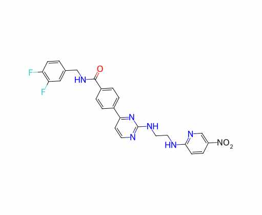 O=C(NCc1ccc(F)c(F)c1)c1ccc(-c2ccnc(NCCNc3ccc([N+](=O)[O-])cn3)n2)cc1